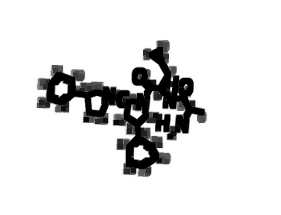 CC(N)C(=O)NC(CC1CC1)C(=O)N1CC(c2ccccc2)CC1CN1CCC(c2ccccc2)C1